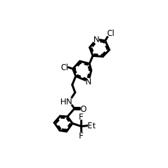 CCC(F)(F)c1ccccc1C(=O)NCCc1ncc(-c2ccc(Cl)nc2)cc1Cl